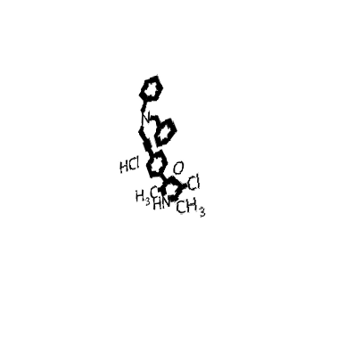 Cc1[nH]c(C)c(-c2ccc(C#CCN(Cc3ccccc3)Cc3ccccc3)cc2)c(=O)c1Cl.Cl